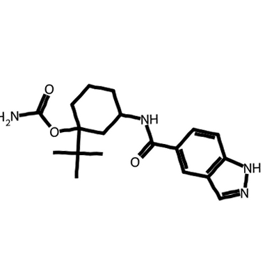 CC(C)(C)C1(OC(N)=O)CCCC(NC(=O)c2ccc3[nH]ncc3c2)C1